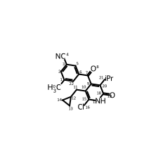 Cc1cc(C#N)cc(C(=O)c2c(CC3CC3)c(Cl)[nH]c(=O)c2C(C)C)c1